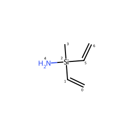 C=C[Si](C)(N)C=C